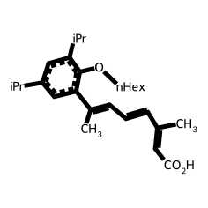 CCCCCCOc1c(C(C)=CC=CC(C)=CC(=O)O)cc(C(C)C)cc1C(C)C